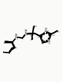 C=C(/C=C\C)NCNC(C)(C)c1cnc(C)[nH]1